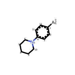 CC(=O)c1c[c]c(N2CCCCC2)cc1